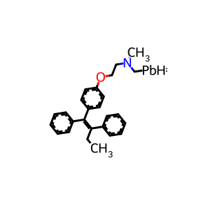 CC/C(=C(\c1ccccc1)c1ccc(OCCN(C)[CH2][PbH])cc1)c1ccccc1